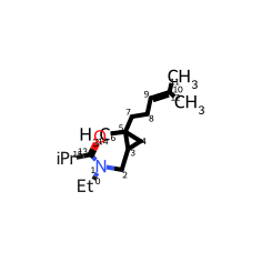 CCN(CC1CC1(C)CCC=C(C)C)C(=O)C(C)C